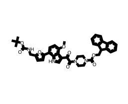 COc1ccc(-c2ccc(CNC(=O)OC(C)(C)C)o2)c2[nH]cc(C(=O)C(=O)N3CCN(C(=O)OCC4c5ccccc5-c5ccccc54)CC3)c12